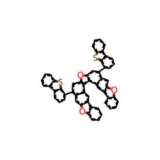 c1ccc2c(c1)oc1cc3c(-c4cccc5c4sc4ccccc45)cc4oc5cc(-c6cccc7c6sc6ccccc67)c6cc7oc8ccccc8c7cc6c5c4c3cc12